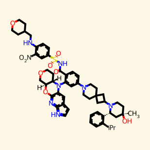 CC(C)c1ccccc1[C@H]1C[C@](C)(O)CCN1C1CC2(CCN(c3ccc(C(=O)NS(=O)(=O)c4ccc(NCC5CCOCC5)c([N+](=O)[O-])c4)c(N4c5cc6cc[nH]c6nc5O[C@H]5COCC[C@@H]54)c3)CC2)C1